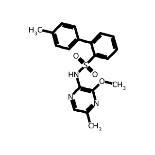 COc1nc(C)cnc1NS(=O)(=O)c1ccccc1-c1ccc(C)cc1